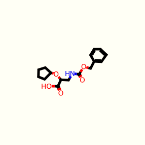 O=C(NCC(OC1CCCC1)C(=O)O)OCc1ccccc1